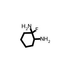 NC1CCCCC1(N)F